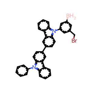 Bc1cc(CBr)cc(-n2c3ccccc3c3cc(-c4ccc5c(c4)c4ccccc4n5-c4ccccc4)ccc32)c1